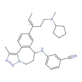 C/C=C(\CCN(C)C1CCCC1)c1ccc2c(c1)C(Nc1cccc(C#N)c1)CCn1nnc(C)c1-2